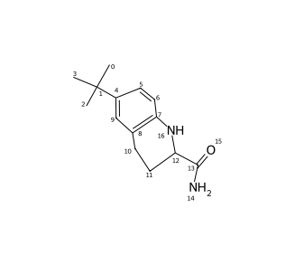 CC(C)(C)c1ccc2c(c1)CCC(C(N)=O)N2